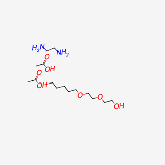 CC(=O)O.CC(=O)O.CCCCCCOCCOCCO.NCCN